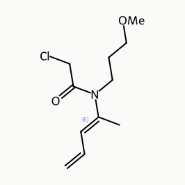 C=C/C=C(\C)N(CCCOC)C(=O)CCl